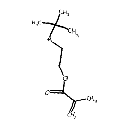 C=C(C)C(=O)OCC[N]C(C)(C)C